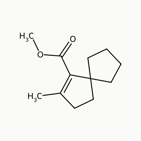 COC(=O)C1=C(C)CCC12CCCC2